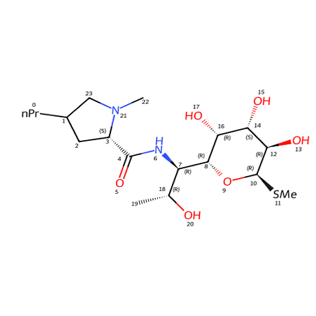 CCCC1C[C@@H](C(=O)N[C@@H]([C@H]2O[C@H](SC)[C@H](O)[C@@H](O)[C@H]2O)[C@@H](C)O)N(C)C1